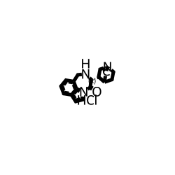 Cl.O=C1[C@@H](C2CN3CCC2CC3)NCc2cccc3ccn1c23